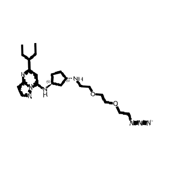 CCC(CC)c1cc(N[C@H]2CC[C@H](NCCOCCOCCN=[N+]=[N-])C2)n2nccc2n1